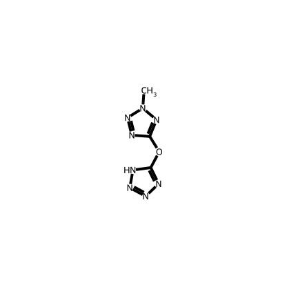 Cn1nnc(Oc2nnn[nH]2)n1